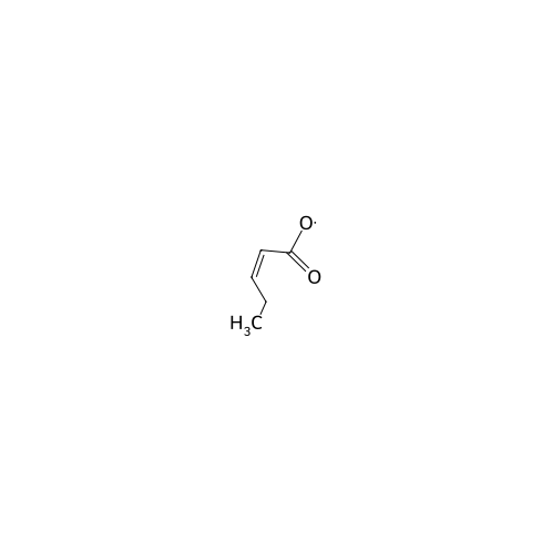 CC/C=C\C([O])=O